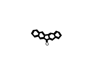 O=C1c2cc3ccccc3cc2-c2cc3ccccc3cc21